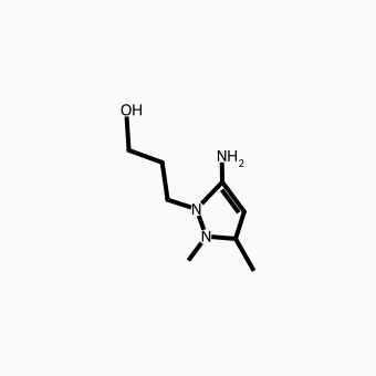 CC1C=C(N)N(CCCO)N1C